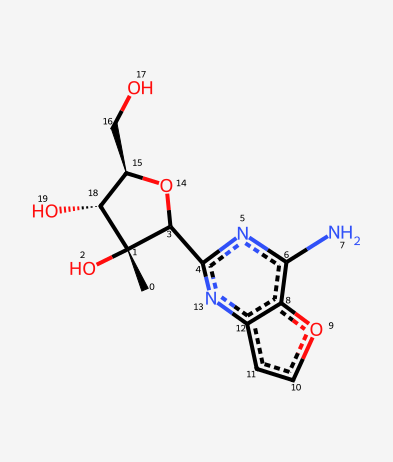 C[C@]1(O)C(c2nc(N)c3occc3n2)O[C@H](CO)[C@H]1O